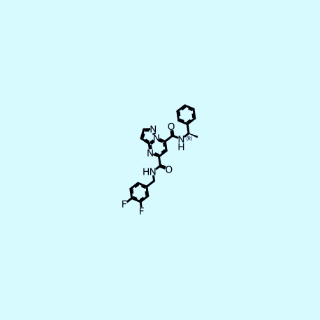 C[C@@H](NC(=O)c1cc(C(=O)NCc2ccc(F)c(F)c2)nc2ccnn12)c1ccccc1